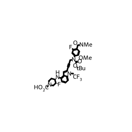 CNC(=O)c1cc(OC)c(N(CC#Cc2cc3c(N[C@H]4CCN(C(=O)O)C[C@H]4F)cccc3n2CC(F)(F)F)C(=O)OC(C)(C)C)cc1F